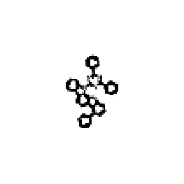 c1ccc(-c2nc(-c3ccccc3)nc(-n3c4ccccc4c4ccc5c(sc6cccc(-c7ccccc7)c65)c43)n2)cc1